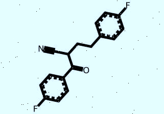 N#CC(CCc1ccc(F)cc1)C(=O)c1ccc(F)cc1